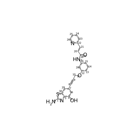 Nc1nc2c(O)cc(C#CCOc3cccc(NC(=O)/C=C/c4ccccn4)c3)cc2s1